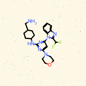 NCC1CCC(Nc2nc(N3CCOCC3)cc(-n3c(C(F)F)nc4ccccc43)n2)CC1